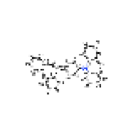 Cc1ccc(N(c2ccc(C(=Cc3ccccc3)c3ccccc3)cc2)c2ccccc2C)cc1